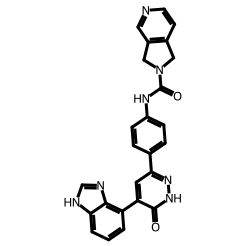 O=C(Nc1ccc(-c2cc(-c3cccc4[nH]cnc34)c(=O)[nH]n2)cc1)N1Cc2ccncc2C1